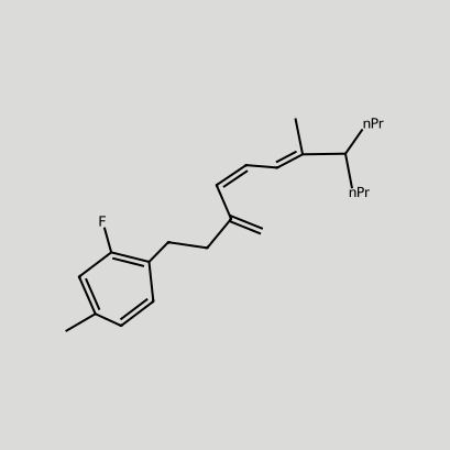 C=C(/C=C\C=C(/C)C(CCC)CCC)CCc1ccc(C)cc1F